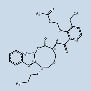 CCCO[C@H]1COC[C@H](NC(=O)c2nccc(OC)c2OCOC(C)=O)C(=O)O[C@@H](C)[C@@H]1Oc1ccccc1